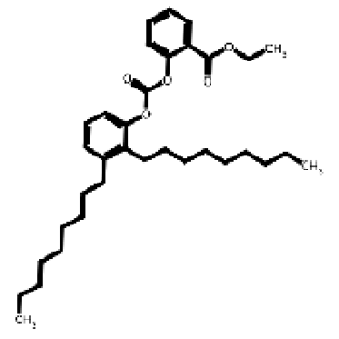 CCCCCCCCCc1cccc(OC(=O)Oc2ccccc2C(=O)OCC)c1CCCCCCCCC